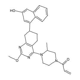 C=CC(=O)N1CCN(c2nc(OC)nc3c2CCC(c2cc(O)cc4ccccc24)C3)C(C)C1